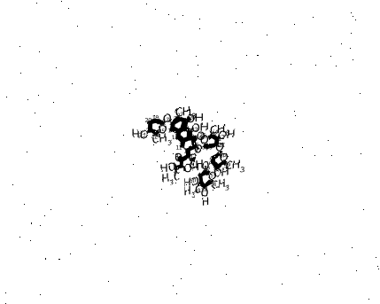 CO[C@H](C(=O)[C@@H](O)[C@@H](C)O)[C@@H]1Cc2cc3cc(O[C@H]4CC[C@H](O)C(C)O4)c(C)c(O)c3c(O)c2C(=O)[C@H]1O[C@H]1C[C@@H](O[C@H]2C[C@@H](O[C@H]3CC(C)(O)[C@H](O)C(C)O3)[C@H](O)C(C)O2)[C@H](O)C(C)O1